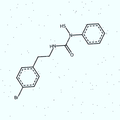 O=C(NCCc1ccc(Br)cc1)N(S)c1cc[c]cc1